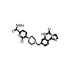 CNC(=O)c1ccc(N2CCN(Cc3ccc4c(c3)[nH]c(=O)n3ccnc43)CC2)c(Cl)n1